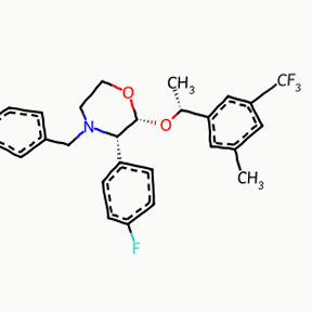 Cc1cc([C@@H](C)O[C@H]2OCCN(Cc3ccccc3)[C@H]2c2ccc(F)cc2)cc(C(F)(F)F)c1